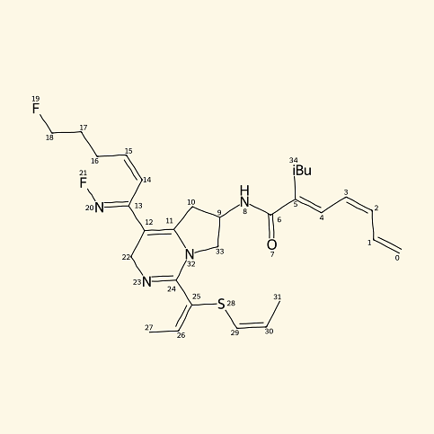 C=C/C=C\C=C(\C(=O)NC1CC2=C(C(/C=C\CCCF)=N/F)CN=C(/C(=C\C)S/C=C\C)N2C1)C(C)CC